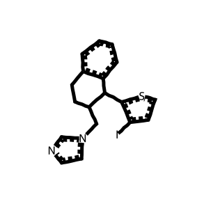 Ic1ccsc1C1c2ccccc2CCC1Cn1ccnc1